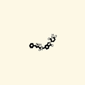 O=C1CCC(N2Cc3cc(CNC(=O)c4cc(-c5ccccc5)n[nH]4)ccc3C2=O)C(=O)N1